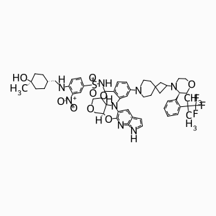 CC(C)(c1ccccc1[C@@H]1COCCN1C1CC2(CCN(c3ccc(C(=O)NS(=O)(=O)c4ccc(NC[C@H]5CC[C@](C)(O)CC5)c([N+](=O)[O-])c4)c(N4c5cc6cc[nH]c6nc5O[C@H]5COCC[C@@H]54)c3)CC2)C1)C(F)(F)F